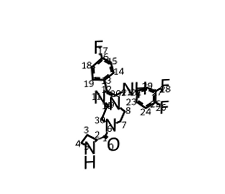 O=C([C@@H]1CCN1)N1CCn2c(nc(-c3ccc(F)cc3)c2Nc2ccc(F)c(F)c2)C1